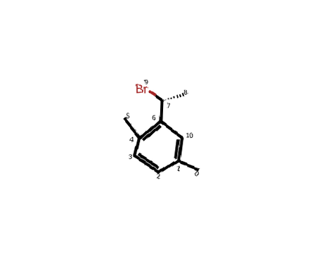 Cc1ccc(C)c([C@@H](C)Br)c1